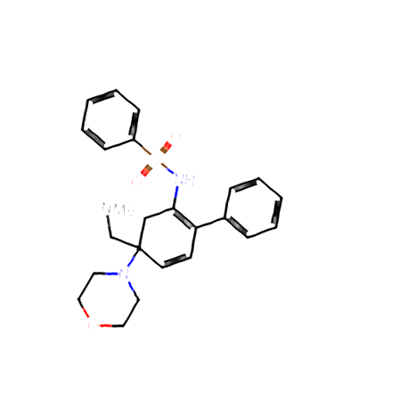 CNCC1(N2CCOCC2)C=CC(c2ccccc2)=C(NS(=O)(=O)c2ccccc2)C1